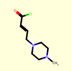 CN1CCN(C/C=C/C(=O)Cl)CC1